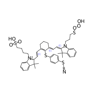 CC1(C)C(/C=C/C2=C(Sc3ccc(SC#N)cc3)C(=C/C=C3/N(CCCSOOO)c4ccccc4C3(C)C)/CCC2)=[N+](CCCCS(=O)(=O)O)c2ccccc21